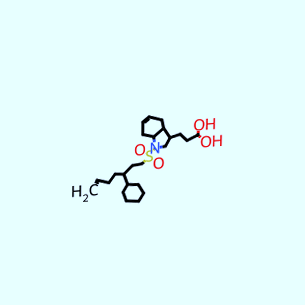 C=CCCC(CCS(=O)(=O)N1CC(CCC(O)O)C2CC=CCC21)C1CCCCC1